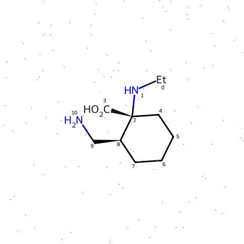 CCN[C@]1(C(=O)O)CCCC[C@H]1CN